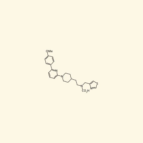 COc1ccc(-c2cccc(N3CCC(CCN(Cc4cscn4)C(=O)O)CC3)n2)cc1